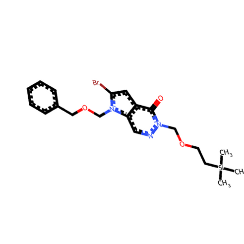 C[Si](C)(C)CCOCn1ncc2c(cc(Br)n2COCc2ccccc2)c1=O